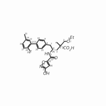 CCOC[C@](C)(C[C@@H](Cc1ccc(-c2cc(C)ccc2F)cc1)NC(=O)c1cc(O)no1)C(=O)O